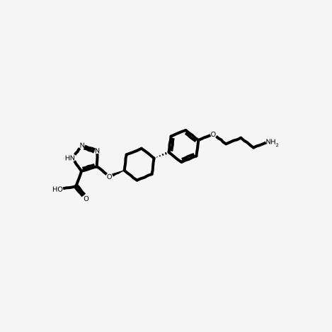 NCCCOc1ccc([C@H]2CC[C@H](Oc3nn[nH]c3C(=O)O)CC2)cc1